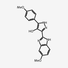 COc1ccc(-c2[nH]nc(-c3nc4cc(OC)ccc4[nH]3)c2O)cc1